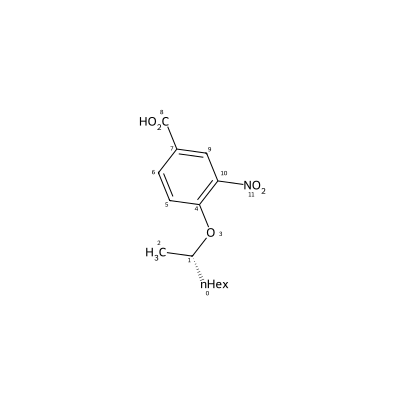 CCCCCC[C@H](C)Oc1ccc(C(=O)O)cc1[N+](=O)[O-]